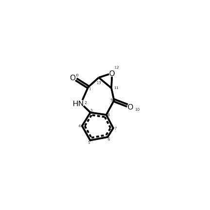 O=C1Nc2ccccc2C(=O)C2OC12